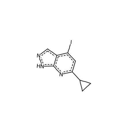 Ic1cc(C2CC2)nc2[nH]ncc12